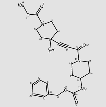 CC(C)(C)OC(=O)N1CCC(O)(C#CC(=O)N2CCC(NC(=O)OCc3ccccc3)CC2)CC1